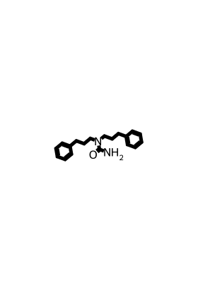 NC(=O)N(CCCc1ccccc1)CCCc1ccccc1